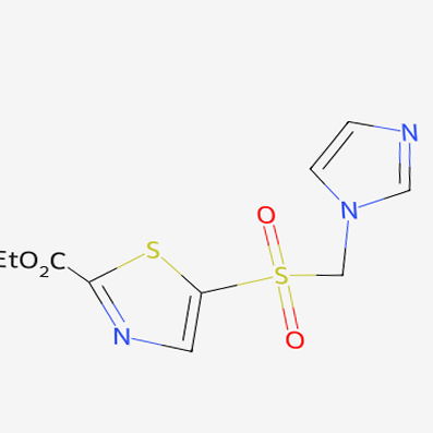 CCOC(=O)c1ncc(S(=O)(=O)Cn2ccnc2)s1